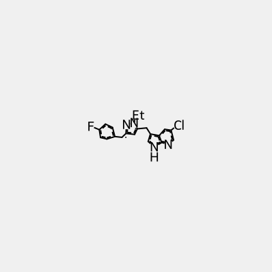 CCn1nc([CH]c2ccc(F)cc2)cc1Cc1c[nH]c2ncc(Cl)cc12